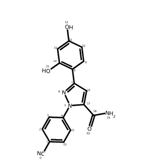 N#Cc1ccc(-n2nc(-c3ccc(O)cc3O)cc2C(N)=O)cc1